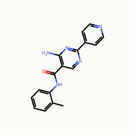 Cc1ccccc1NC(=O)c1cnc(-c2ccncc2)nc1N